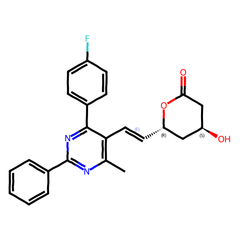 Cc1nc(-c2ccccc2)nc(-c2ccc(F)cc2)c1/C=C/[C@H]1C[C@H](O)CC(=O)O1